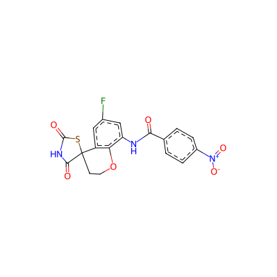 O=C1NC(=O)C2(CCOc3c(NC(=O)c4ccc([N+](=O)[O-])cc4)cc(F)cc32)S1